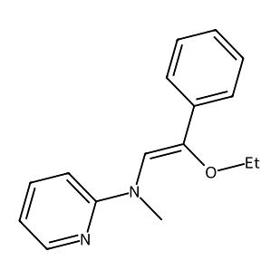 CCOC(=CN(C)c1ccccn1)c1ccccc1